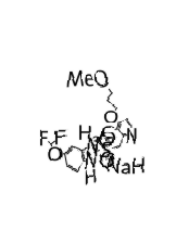 COCCCOc1ccnc(CS(=O)(=O)c2nc3cc(OC(F)F)ccc3[nH]2)c1C.[NaH]